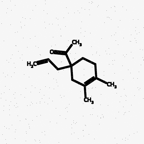 C=CCC1(C(C)=O)CCC(C)=C(C)C1